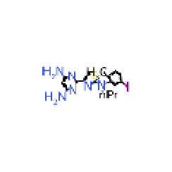 CCCN(c1nc(-c2nc(N)cc(N)n2)cs1)c1cc(I)ccc1C